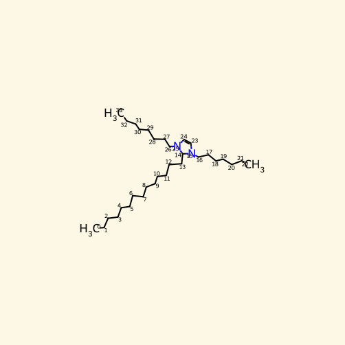 CCCCCCCCCCCCCCC1N(CCCCCCC)C=CN1CCCCCCCC